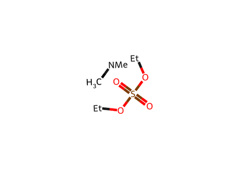 CCOS(=O)(=O)OCC.CNC